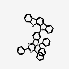 c1ccc(-c2nc(-c3ccccc3)c3c(n2)-c2ccc(-n4c5ccccc5c5ccc6c7ccccc7sc6c54)cc2[Si]3(c2ccccc2)c2ccccc2)cc1